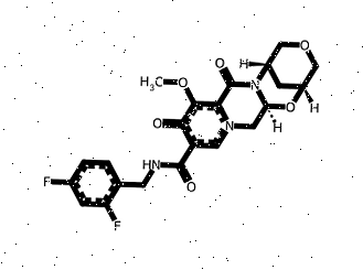 COc1c2n(cc(C(=O)NCc3ccc(F)cc3F)c1=O)C[C@@H]1O[C@H]3COC[C@H](C3)N1C2=O